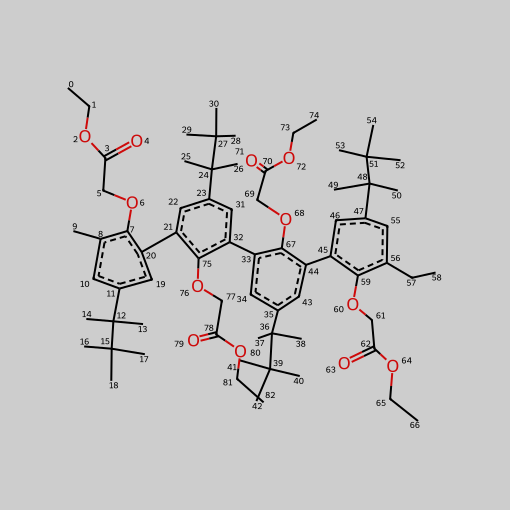 CCOC(=O)COc1c(C)cc(C(C)(C)C(C)(C)C)cc1-c1cc(C(C)(C)C(C)(C)C)cc(-c2cc(C(C)(C)C(C)(C)C)cc(-c3cc(C(C)(C)C(C)(C)C)cc(CC)c3OCC(=O)OCC)c2OCC(=O)OCC)c1OCC(=O)OCC